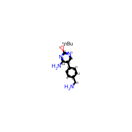 CCCCOc1ncc(-c2ccc(CN)cc2)c(N)n1